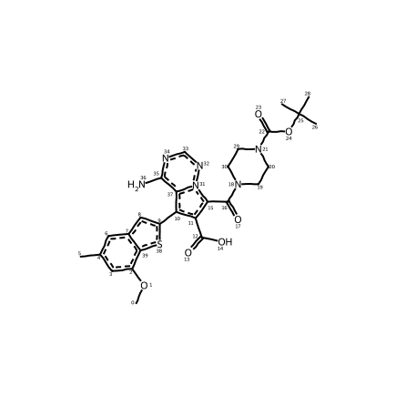 COc1cc(C)cc2cc(-c3c(C(=O)O)c(C(=O)N4CCN(C(=O)OC(C)(C)C)CC4)n4ncnc(N)c34)sc12